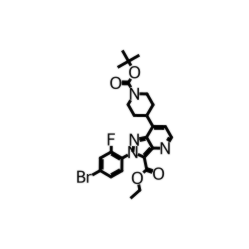 CCOC(=O)c1c2nccc(C3CCN(C(=O)OC(C)(C)C)CC3)c2nn1-c1ccc(Br)cc1F